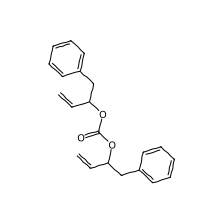 C=CC(Cc1ccccc1)OC(=O)OC(C=C)Cc1ccccc1